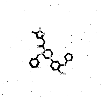 COc1ccc(N2CCN(C(=O)Cc3cc(C)[nH]n3)[C@@H](Cc3ccccc3)C2)cc1OC1CCCC1